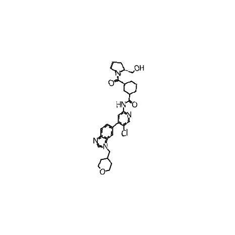 O=C(Nc1cc(-c2ccc3ncn(CC4CCOCC4)c3c2)c(Cl)cn1)C1CCCC(C(=O)N2CCC[C@H]2CO)C1